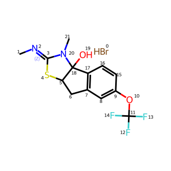 Br.C/N=C1\SC2Cc3cc(OC(F)(F)F)ccc3C2(O)N1C